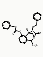 O=C(Nc1ccccc1)Oc1cccc2c1[C@H]1CN(C(=O)N1OCc1ccccc1)C2C(=O)O